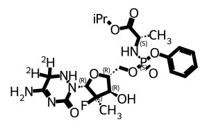 [2H]C1([2H])NN([C@@H]2O[C@H](CO[P@@](=O)(N[C@@H](C)C(=O)OC(C)C)Oc3ccccc3)[C@@H](O)[C@@]2(C)F)C(=O)N=C1N